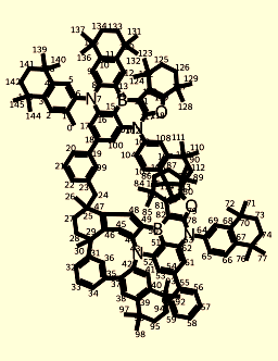 Cc1cc2c(cc1N1c3cc4c(cc3B3c5c1cc(-c1cccc(CC6(C)CCC7(C)c8cccc(c8)-c8cc9c(cc8N8c%10cc7c6cc%10B6c7c8cc(-c8ccccc8)cc7N(c7ccc8c(c7)C(C)(C)CCC8(C)C)c7oc8c(c76)C(C)(C)CCC8(C)C)C(C)(C)CCC9(C)C)c1)cc5N(c1ccc5c(c1)C(C)(C)CCC5(C)C)c1oc5c(c13)C(C)(C)CCC5(C)C)C(C)(C)CCC4(C)C)C(C)(C)CCC2(C)C